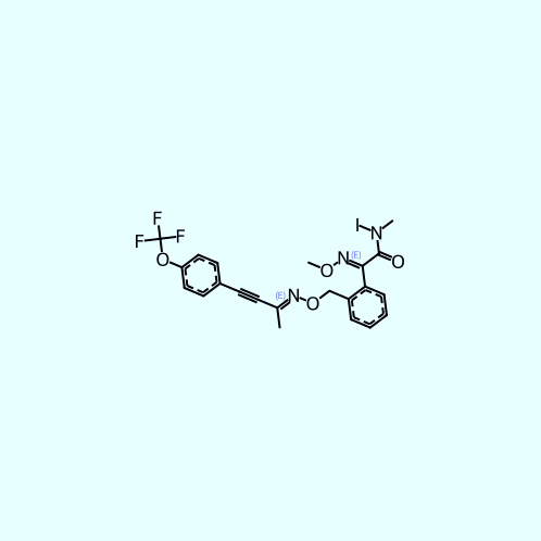 CO/N=C(/C(=O)N(C)I)c1ccccc1CO/N=C(\C)C#Cc1ccc(OC(F)(F)F)cc1